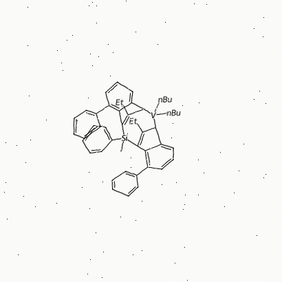 CCC[CH2][V]1([CH2]CCC)[CH]2C(CC)=C(c3c(-c4ccccc4)cccc32)[Si](C)(c2ccccc2)C2=C(CC)[CH]1c1cccc(-c3ccccc3)c12